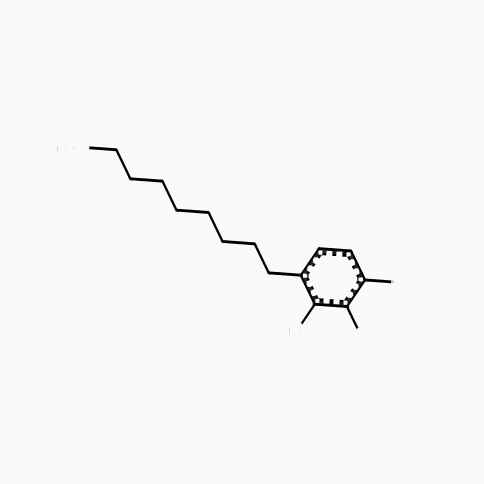 CCCCCCCCCCCCCCCCCCc1ccc(C(=O)O)c(O)c1O